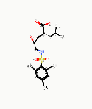 Cc1cc(C)c(S(=O)(=O)NC[C@H]2O[C@@H]2[C@@H](CC(C)C)C(=O)O)c(C)c1